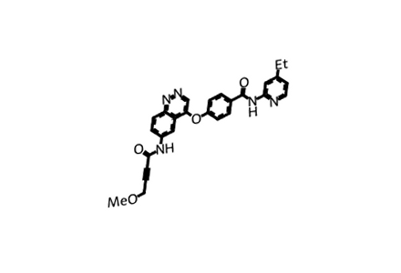 CCc1ccnc(NC(=O)c2ccc(Oc3cnnc4ccc(NC(=O)C#CCOC)cc34)cc2)c1